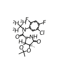 [2H]C([2H])([2H])N(C(=O)[C@H]1NC(=O)[C@@]2(C)OC(C)(C)O[C@@H]12)c1cc(Cl)c(F)cc1F